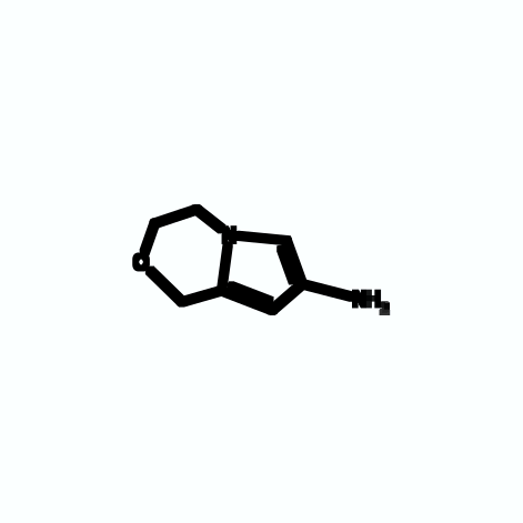 Nc1cc2n(c1)CCOC2